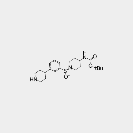 CC(C)(C)OC(=O)NC1CCN([S+]([O-])c2cccc(C3CCNCC3)c2)CC1